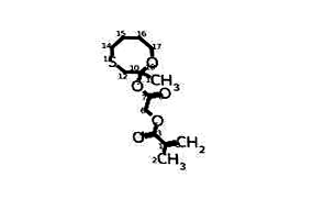 C=C(C)C(=O)OCC(=O)OC1(C)CSCCCCO1